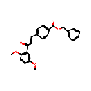 COc1ccc(OC)c(C(=O)/C=C/c2ccc(C(=O)OCc3ccccc3)cc2)c1